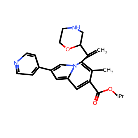 C=C(c1c(C)c(C(=O)OC(C)C)cc2cc(-c3ccncc3)cn12)C1CNCCO1